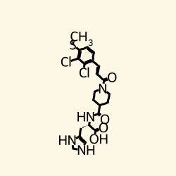 CSc1ccc(/C=C/C(=O)N2CCC(C(=O)N[C@@H](CC3=CNCN3)C(=O)O)CC2)c(Cl)c1Cl